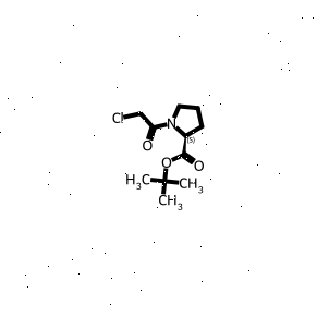 CC(C)(C)OC(=O)[C@@H]1CCCN1C(=O)CCl